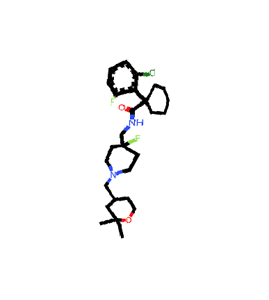 CC1(C)CC(CN2CCC(F)(CNC(=O)C3(c4c(F)cccc4Cl)CCCCC3)CC2)CCO1